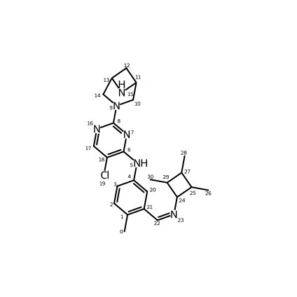 Cc1ccc(Nc2nc(N3CC4CC(C3)N4)ncc2Cl)cc1/C=N\C1C(C)C(C)C1C